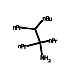 CCCCC(CCC)C(N)(CCC)CCC